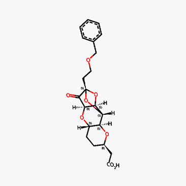 O=C(O)C[C@H]1CC[C@@H]2O[C@H]3C(=O)[C@@]4(CCOCc5ccccc5)O[C@@H]([C@H]2O1)[C@@H]3O4